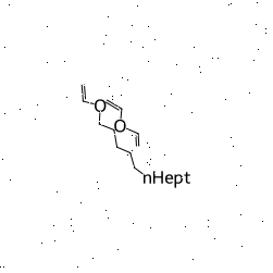 C=COC=C.C=COCCCCCCCCCCCC